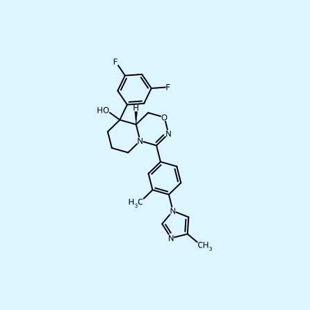 Cc1cn(-c2ccc(C3=NOC[C@@H]4N3CCCC4(O)c3cc(F)cc(F)c3)cc2C)cn1